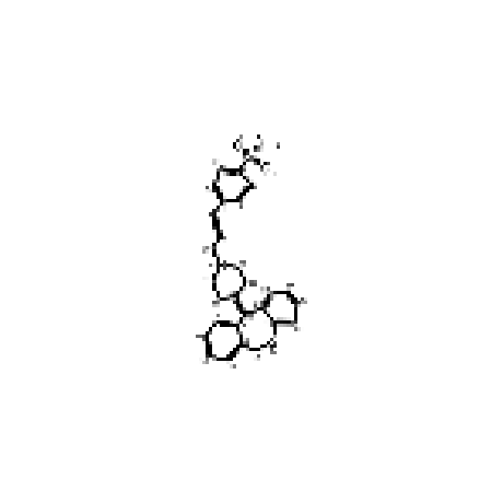 NS(=O)(=O)c1ccc(C=CCN2CCC(=C3c4ccccc4CSc4ccccc43)CC2)cc1